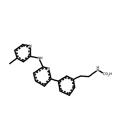 Cc1ccnc(Nc2cccc(-c3cccc(CCNC(=O)O)c3)n2)c1